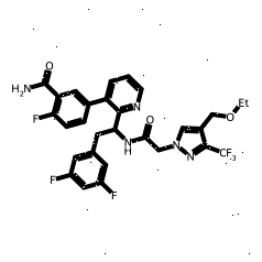 CCOCc1cn(CC(=O)NC(Cc2cc(F)cc(F)c2)c2ncccc2-c2ccc(F)c(C(N)=O)c2)nc1C(F)(F)F